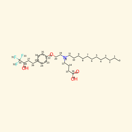 CCCCCCCCCCCCN(CCCC(=O)O)CCOc1ccc(CCC(O)C(F)(F)F)cc1